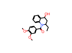 CCC1CC(O)c2ccccc2N1C(=O)c1ccc(OC)c(OC)c1